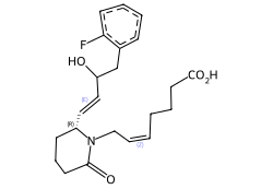 O=C(O)CCC/C=C\CN1C(=O)CCC[C@@H]1/C=C/C(O)Cc1ccccc1F